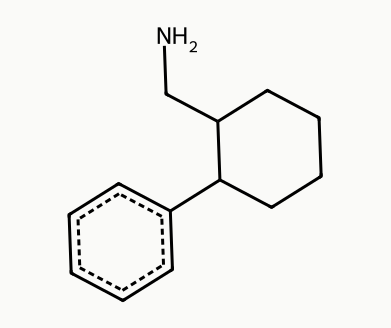 NCC1CCCCC1c1ccccc1